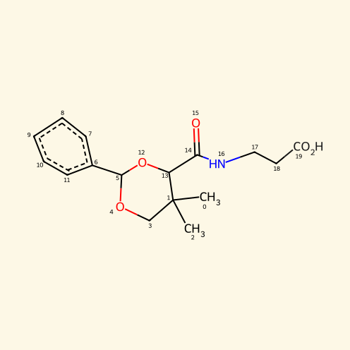 CC1(C)COC(c2ccccc2)OC1C(=O)NCCC(=O)O